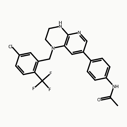 CC(=O)Nc1ccc(-c2cnc3c(c2)N(Cc2cc(Cl)ccc2C(F)(F)F)CCN3)cc1